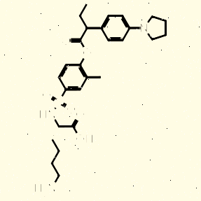 CCC(C(=O)Oc1ccc(S(=O)(=O)N[C@@H](CCCCN)C(=O)O)cc1C)c1ccc(N2CCCC2)cc1